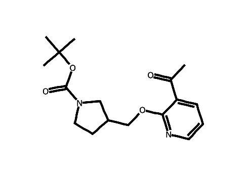 CC(=O)c1cccnc1OCC1CCN(C(=O)OC(C)(C)C)C1